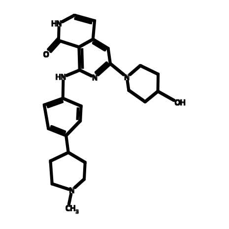 CN1CCC(c2ccc(Nc3nc(N4CCC(O)CC4)cc4cc[nH]c(=O)c34)cc2)CC1